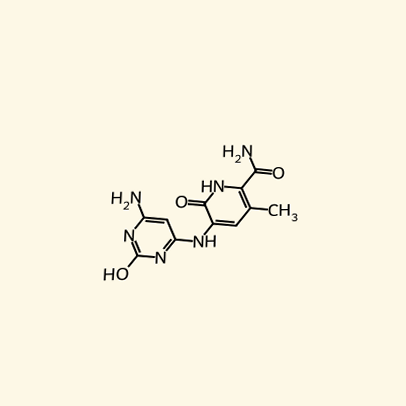 Cc1cc(Nc2cc(N)nc(O)n2)c(=O)[nH]c1C(N)=O